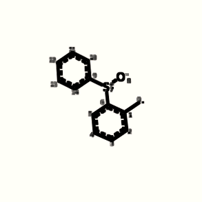 [CH2]c1ccccc1[S+]([O-])c1ccccc1